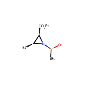 CCOC(=O)[C@@H]1[C@H](CC)N1[S+]([O-])C(C)(C)C